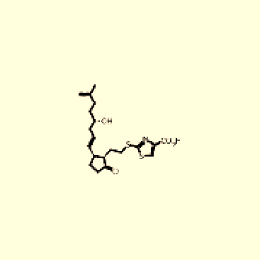 C=C(C)CC[C@H](O)C/C=C/[C@@H]1CCC(=O)[C@@H]1CCSc1nc(C(=O)O)cs1